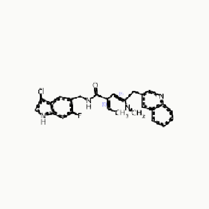 C=N/C(=C\C(=C/C)C(=O)NCc1cc2c(Cl)c[nH]c2cc1F)Cc1cnc2ccccc2c1